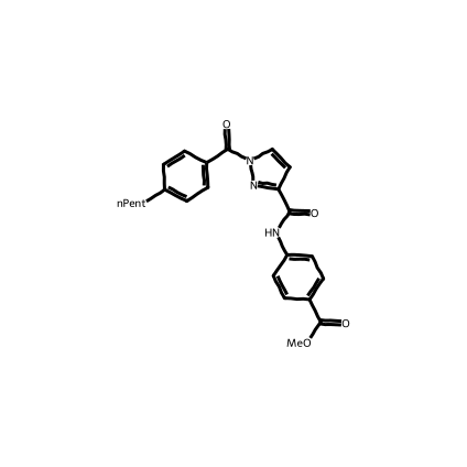 CCCCCc1ccc(C(=O)n2ccc(C(=O)Nc3ccc(C(=O)OC)cc3)n2)cc1